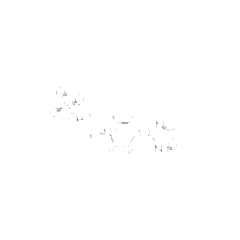 Cc1nc(-c2cc[n+](CCOS(=O)(=O)[O-])cc2)no1